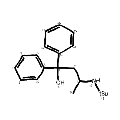 CC(CC(O)(c1ccccc1)c1ccccc1)NC(C)(C)C